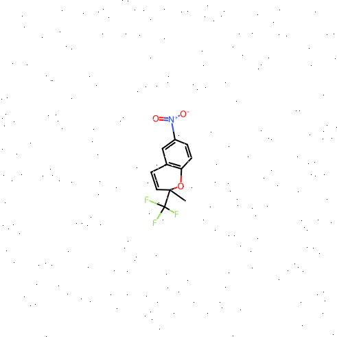 CC1(C(F)(F)F)C=Cc2cc([N+](=O)[O-])ccc2O1